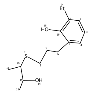 CCc1cccc(CCCSC(C)C(C)O)c1O